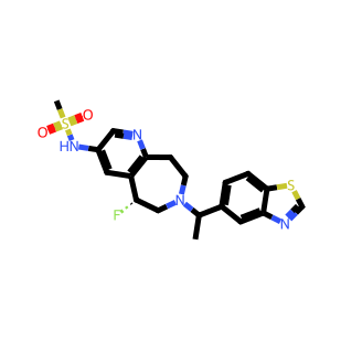 CC(c1ccc2scnc2c1)N1CCc2ncc(NS(C)(=O)=O)cc2[C@@H](F)C1